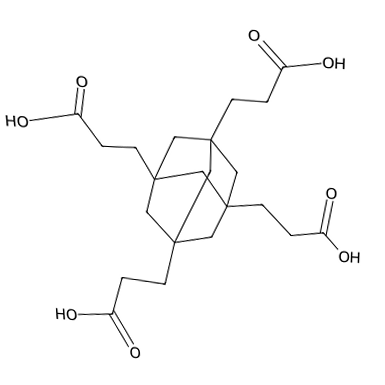 O=C(O)CCC12CC3(CCC(=O)O)CC(CCC(=O)O)(C1)CC(CCC(=O)O)(C2)C3